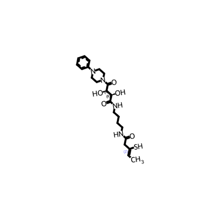 C/C=C(\S)CC(=O)NCCCCNC(=O)[C@H](O)[C@@H](O)C(=O)N1CCN(c2ccccc2)CC1